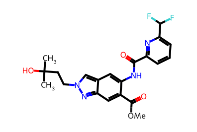 COC(=O)c1cc2nn(CCC(C)(C)O)cc2cc1NC(=O)c1cccc(C(F)F)n1